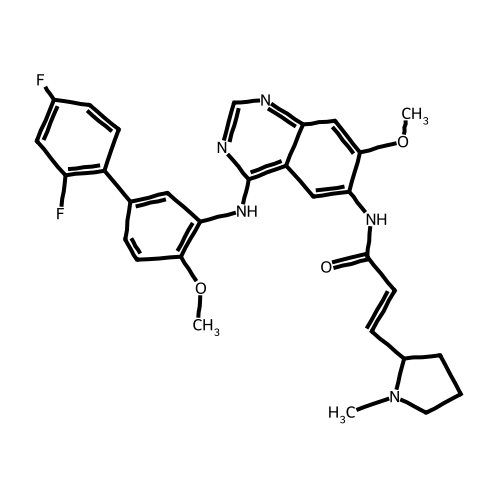 COc1cc2ncnc(Nc3cc(-c4ccc(F)cc4F)ccc3OC)c2cc1NC(=O)/C=C/C1CCCN1C